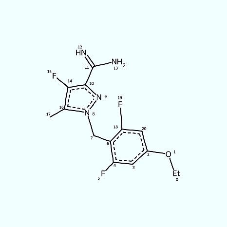 CCOc1cc(F)c(Cn2nc(C(=N)N)c(F)c2C)c(F)c1